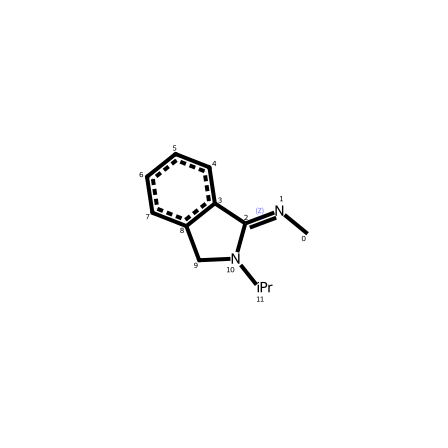 C/N=C1/c2ccccc2CN1C(C)C